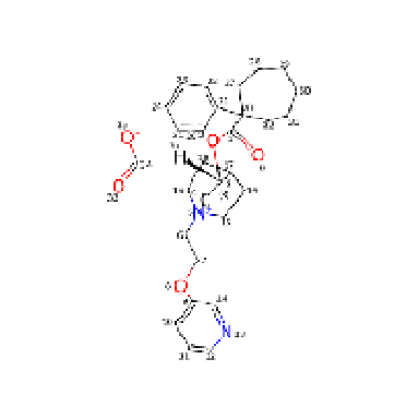 O=C(O[C@H]1C[N+]2(CCOc3cccnc3)CCC1CC2)C1(c2ccccc2)CCCCCC1.O=C[O-]